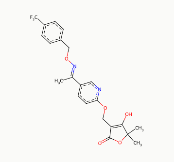 C/C(=N\OCc1ccc(C(F)(F)F)cc1)c1ccc(OCC2=C(O)C(C)(C)OC2=O)nc1